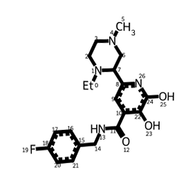 CCN1CCN(C)CC1c1cc(C(=O)NCc2ccc(F)cc2)c(O)c(O)n1